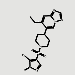 CCc1cc2ncnn2cc1C1CCN(S(=O)(=O)c2cnn(C)c2Cl)CC1